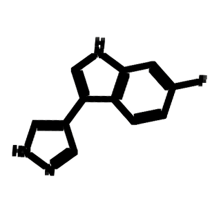 Fc1ccc2c(-c3cn[nH]c3)c[nH]c2c1